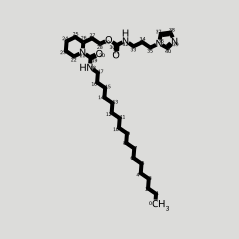 CCCCCCCCCCCCCCCCCCNC(=O)N1CCCCC1CCOC(=O)NCCCn1ccnc1